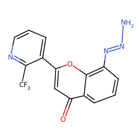 NN=Nc1cccc2c(=O)cc(-c3cccnc3C(F)(F)F)oc12